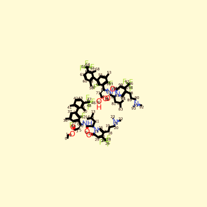 CCOC(=O)C[C@H](NC(=O)C(CC(C)C)n1cc(CCCN(C)C)c(C(F)(F)F)cc1=O)c1c(F)c(C)cc(-c2c(C)ccc(C(F)(F)F)c2C)c1F.Cc1cc(-c2c(C)ccc(C(F)(F)F)c2C)c(F)c([C@H](CC(=O)O)NC(=O)C(CC(C)C)n2cc(CCCN(C)C)c(C(F)(F)F)cc2=O)c1F